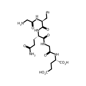 CC(C)C[C@H](NC(=O)CN)C(=O)N[C@@H](CCC(N)=O)C(=O)NCC(=O)N[C@@H](CCC(=O)O)C(=O)O